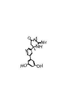 CN1C(=N)N[C@](C)(c2cncc(-c3cc(O)cc(O)c3)c2)CC1=O